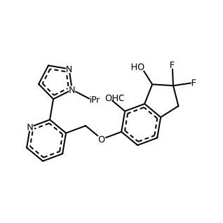 CC(C)n1nccc1-c1ncccc1COc1ccc2c(c1C=O)C(O)C(F)(F)C2